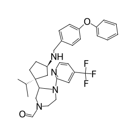 CC(C)[C@]1(C2CN(C=O)CCN2c2cc(C(F)(F)F)ccn2)CC[C@@H](NCc2ccc(Oc3ccccc3)cc2)C1